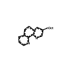 CCCCCCCCc1cnc2c(ccc3cccnc32)c1